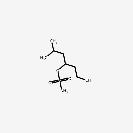 CCCC(CC(C)C)OS(N)(=O)=O